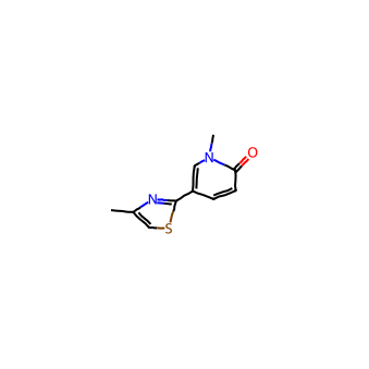 Cc1csc(-c2ccc(=O)n(C)c2)n1